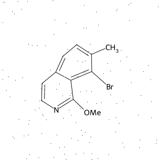 COc1nccc2ccc(C)c(Br)c12